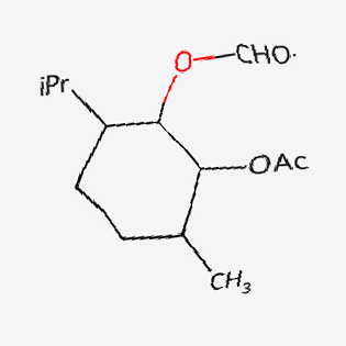 CC(=O)OC1C(C)CCC(C(C)C)C1O[C]=O